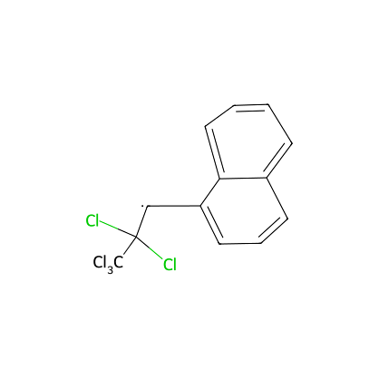 ClC(Cl)(Cl)C(Cl)(Cl)[CH]c1cccc2ccccc12